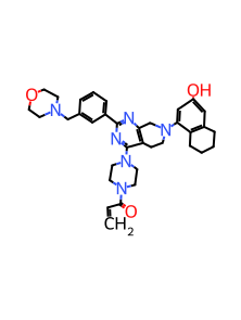 C=CC(=O)N1CCN(c2nc(-c3cccc(CN4CCOCC4)c3)nc3c2CCN(c2cc(O)cc4c2CCCC4)C3)CC1